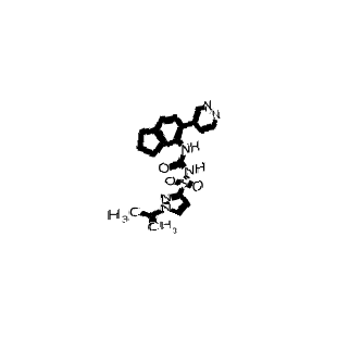 CC(C)n1ccc(S(=O)(=O)NC(=O)Nc2c(-c3ccnnc3)ccc3c2CCC3)n1